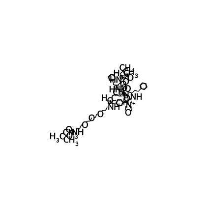 CC(C)C[C@H](NC(=O)C(CCc1ccccc1)NC(=O)C[N+]1(Cc2ccc(C(=O)NCCCOCCOCCOCCCNC(=O)OC(C)(C)C)cc2)CCOCC1)C(=O)N[C@@H](Cc1ccccc1)C(=O)N[C@@H](CC(C)C)C(=O)[C@@]1(C)CO1